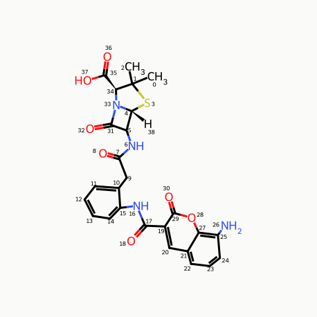 CC1(C)S[C@@H]2C(NC(=O)Cc3ccccc3NC(=O)c3cc4cccc(N)c4oc3=O)C(=O)N2[C@H]1C(=O)O